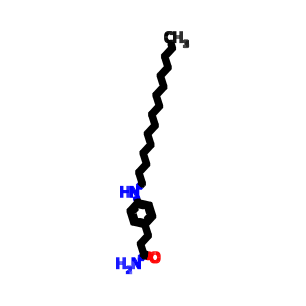 CCCCCCCCCCCCCCCCNc1ccc(CCC(N)=O)cc1